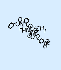 CC12C[C@]1(C(=O)OCc1ccc([N+](=O)[O-])cc1)N1C(=O)[C@@H](NC(=O)Cc3ccccc3NC(=O)OCc3ccccc3)[C@H]1S2